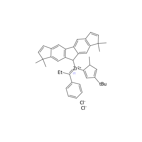 CC/[C](c1ccccc1)=[Zr+2](/[C]1=CC(C(C)(C)C)=CC1C)[CH]1c2cc3c(cc2-c2cc4c(cc21)C(C)(C)C=C4)C=CC3(C)C.[Cl-].[Cl-]